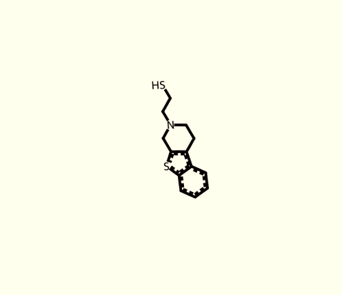 SCCN1CCc2c(sc3ccccc23)C1